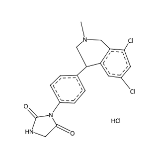 CN1Cc2c(Cl)cc(Cl)cc2C(c2ccc(N3C(=O)CNC3=O)cc2)C1.Cl